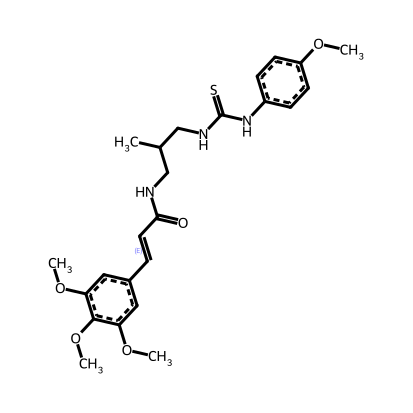 COc1ccc(NC(=S)NCC(C)CNC(=O)/C=C/c2cc(OC)c(OC)c(OC)c2)cc1